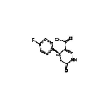 O=C1C[C@@H](c2ccc(F)cc2)C(C(=O)Cl)=CN1